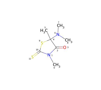 CN1C(=O)C(C)(N(C)C)SC1=S